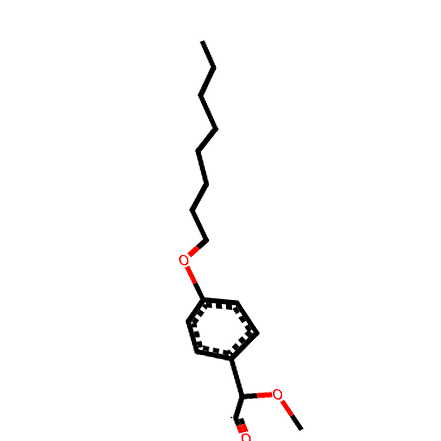 CCCCCCCCOc1ccc(C([C]=O)OC)cc1